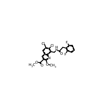 COC(=O)c1cc2cc(Cl)c(Cl)c(CNC(=O)Cc3c(F)cccc3F)c2nc1OC